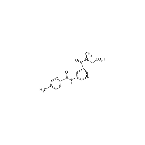 Cc1ccc(C(=O)Nc2c[c]cc(C(=O)N(C)CC(=O)O)c2)cc1